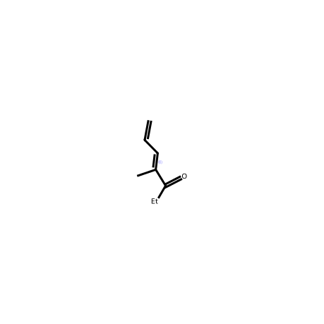 C=C/C=C(\C)C(=O)CC